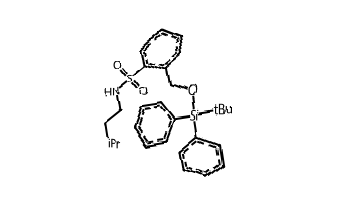 CC(C)CCNS(=O)(=O)c1ccccc1CO[Si](c1ccccc1)(c1ccccc1)C(C)(C)C